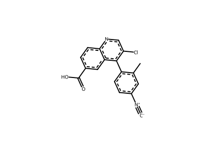 [C-]#[N+]c1ccc(-c2c(Cl)cnc3ccc(C(=O)O)cc23)c(C)c1